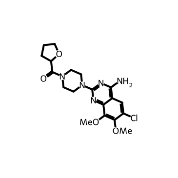 COc1c(Cl)cc2c(N)nc(N3CCN(C(=O)C4CCCO4)CC3)nc2c1OC